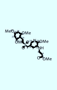 COC(=O)C=CNc1cc(CS(=O)(=O)C=Cc2c(OC)cc(OC)cc2OC)cnc1OC